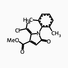 COC(=O)C1=CC(=O)N(c2c(C)cccc2C)C1=C(Cl)Cl